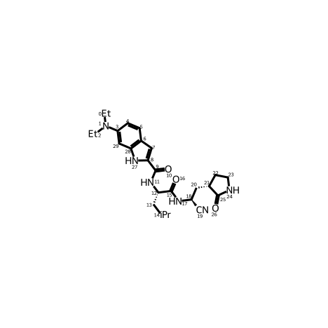 CCN(CC)c1ccc2cc(C(=O)N[C@@H](CC(C)C)C(=O)N[C@H](C#N)C[C@@H]3CCNC3=O)[nH]c2c1